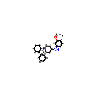 COc1cccc(NC2CCN([C@@H]3CCCC[C@@H]3c3ccccc3)CC2)c1